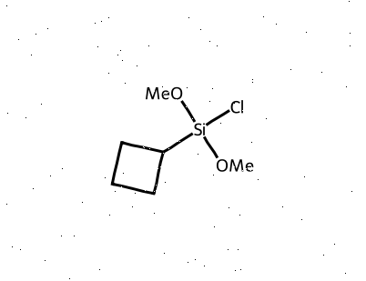 CO[Si](Cl)(OC)C1CCC1